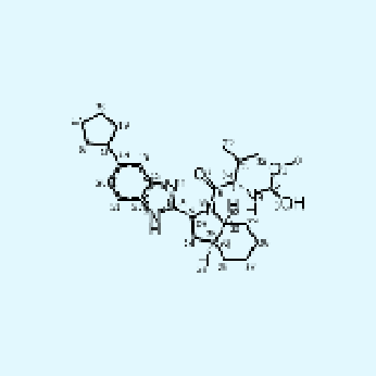 COC(O)N[C@H](C(=O)N1[C@H](c2nc3cc(C4CCCC4)ccc3[nH]2)C[C@@H]2CCCC[C@@H]21)C(C)C